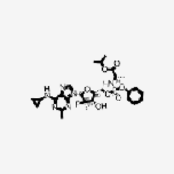 Cc1nc(NC2CC2)c2ncn([C@@H]3O[C@H](CO[P@](=O)(N[C@@H](C)C(=O)OC(C)C)Oc4ccccc4)[C@@H](O)[C@@]3(C)F)c2n1